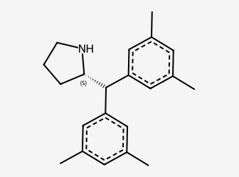 Cc1cc(C)cc(C(c2cc(C)cc(C)c2)[C@@H]2CCCN2)c1